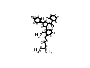 CCc1c(CCC(=O)CC(C)CC)cccc1C1CC(c2ccc(F)cc2)=CC1C(=O)c1ccccc1C